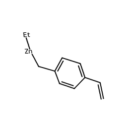 C=Cc1ccc([CH2][Zn][CH2]C)cc1